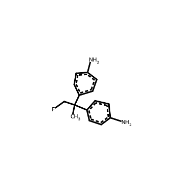 CC(CF)(c1ccc(N)cc1)c1ccc(N)cc1